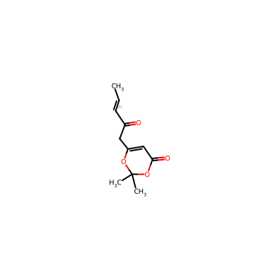 C/C=C/C(=O)CC1=CC(=O)OC(C)(C)O1